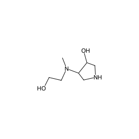 CN(CCO)C1CNCC1O